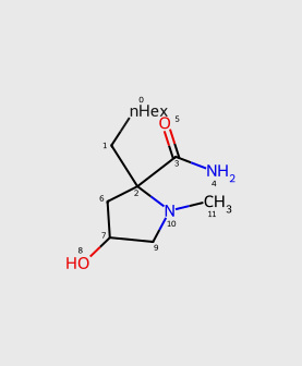 CCCCCCCC1(C(N)=O)CC(O)CN1C